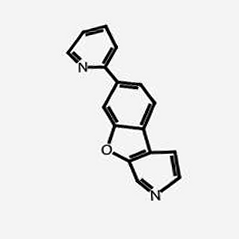 c1ccc(-c2ccc3c(c2)oc2cnccc23)nc1